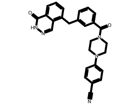 N#Cc1ccc(N2CCN(C(=O)c3cccc(Cc4cccc5c(=O)[nH]ncc45)c3)CC2)cc1